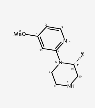 COc1ccnc(N2CCNC[C@H]2C)c1